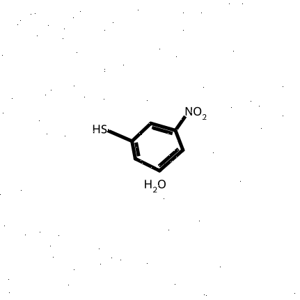 O.O=[N+]([O-])c1cccc(S)c1